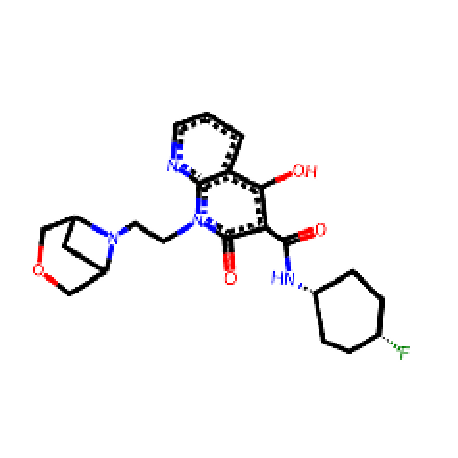 O=C(N[C@H]1CC[C@@H](F)CC1)c1c(O)c2cccnc2n(CCN2C3COCC2C3)c1=O